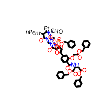 CCCCCC(C(=O)NCNC(=O)c1ccc(-c2ccc(C(=O)NC(CC(=O)OCc3ccccc3)C(=O)OCc3ccccc3)c(OCC(=O)OCc3ccccc3)c2)o1)C(CC)N(C=O)OCOP(=O)(O)OCc1ccccc1